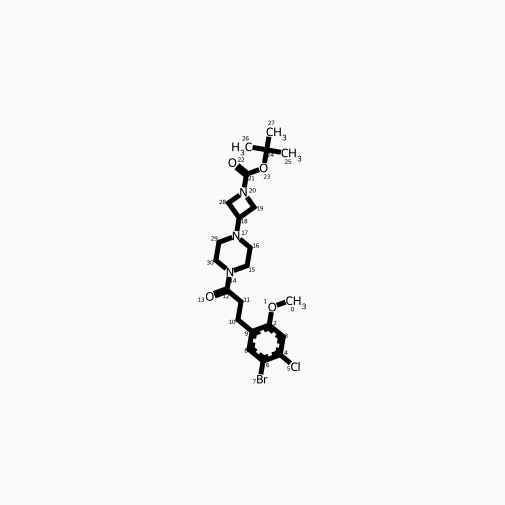 COc1cc(Cl)c(Br)cc1CCC(=O)N1CCN(C2CN(C(=O)OC(C)(C)C)C2)CC1